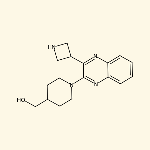 OCC1CCN(c2nc3ccccc3nc2C2CNC2)CC1